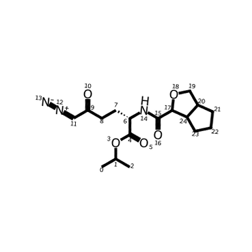 CC(C)OC(=O)[C@H](CCC(=O)C=[N+]=[N-])NC(=O)C1OCC2CCCC21